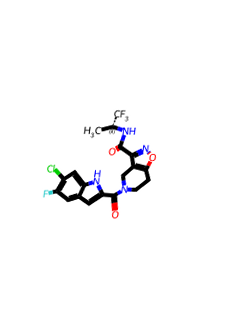 C[C@@H](NC(=O)c1noc2c1CN(C(=O)c1cc3cc(F)c(Cl)cc3[nH]1)CC2)C(F)(F)F